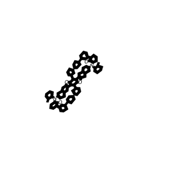 Cc1ccccc1N(c1ccc2cc3c(cc2c1)oc1c(-c2ccccc2)c2c(oc4cc5cc(N(c6ccccc6C)c6cccc7c6oc6c(-c8ccccc8)cccc67)ccc5cc42)c(-c2ccccc2)c13)c1cccc2c1oc1c(-c3ccccc3)cccc12